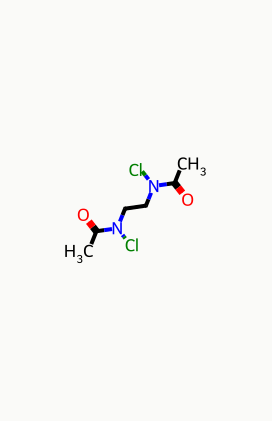 CC(=O)N(Cl)CCN(Cl)C(C)=O